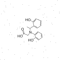 CC(c1ccccc1O)N(CC(=O)O)c1ccccc1O